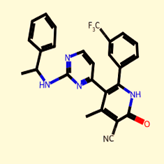 Cc1c(-c2ccnc(NC(C)c3ccccc3)n2)c(-c2cccc(C(F)(F)F)c2)[nH]c(=O)c1C#N